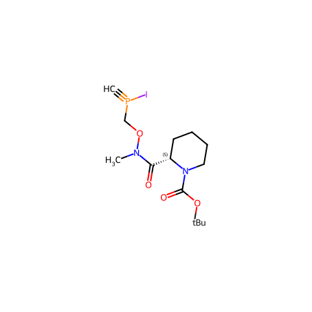 C#P(I)CON(C)C(=O)[C@@H]1CCCCN1C(=O)OC(C)(C)C